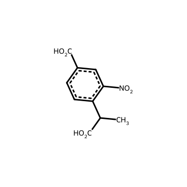 CC(C(=O)O)c1ccc(C(=O)O)cc1[N+](=O)[O-]